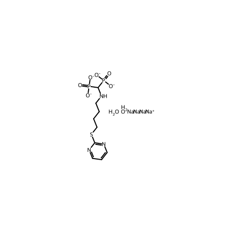 O.O.O=P([O-])([O-])C(NCCCCSc1ncccn1)P(=O)([O-])[O-].[Na+].[Na+].[Na+].[Na+]